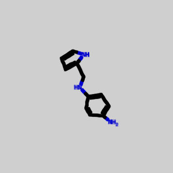 Nc1ccc(NCc2ccc[nH]2)cc1